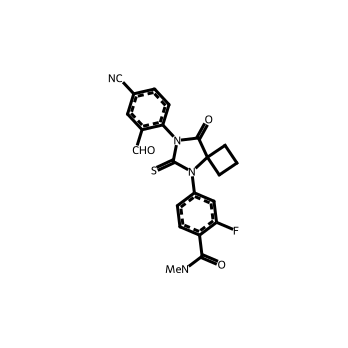 CNC(=O)c1ccc(N2C(=S)N(c3ccc(C#N)cc3C=O)C(=O)C23CCC3)cc1F